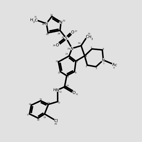 CC(=O)N1CCC2(CC1)c1cc(C(=O)NCc3ccccc3Cl)ccc1N(S(=O)(=O)c1cn(C)cn1)C2C